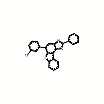 Clc1cccc(-c2cc3nc(-c4ccccc4)sc3c3c2oc2ccccc23)c1